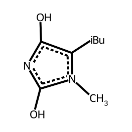 CCC(C)c1c(O)nc(O)n1C